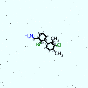 Cc1[c]cc(-c2cccc(CN)c2Br)c(C)c1Cl